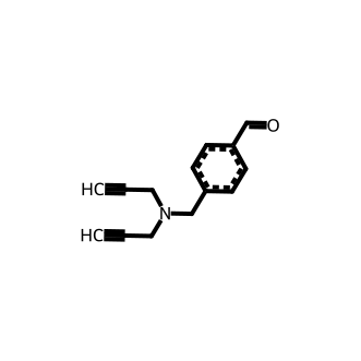 C#CCN(CC#C)Cc1ccc(C=O)cc1